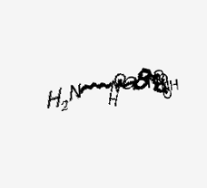 NCCCCCCCCNC(=O)COC1CCC2c3c(cccc31)C(=O)N2C1CCC(=O)NC1=O